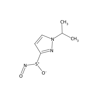 CC(C)n1ccc([S+]([O-])N=O)n1